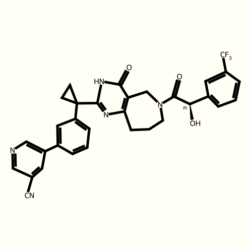 N#Cc1cncc(-c2cccc(C3(c4nc5c(c(=O)[nH]4)CN(C(=O)[C@H](O)c4cccc(C(F)(F)F)c4)CCC5)CC3)c2)c1